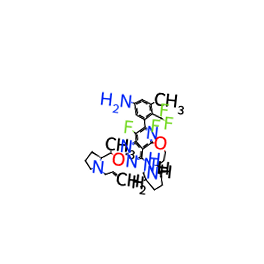 C=CCN1CCC[C@H]1[C@H](C)Oc1nc2c3c(nc(-c4cc(N)cc(C)c4C(F)(F)F)c(F)c3n1)OCC[C@@H]1[C@@H]3CC[C@H](CN21)N3